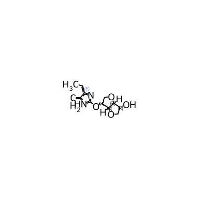 C=c1[nH]c(O[C@@H]2CO[C@H]3[C@@H]2OC[C@H]3O)n/c1=C/C